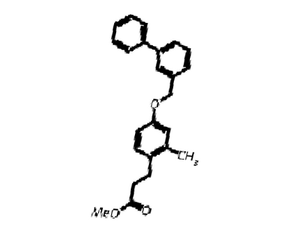 COC(=O)CCc1ccc(OCc2cccc(-c3ccccc3)c2)cc1C